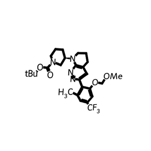 COCOc1cc(C(F)(F)F)cc(C)c1-c1cc2c(nn1)N([C@@H]1CCCN(C(=O)OC(C)(C)C)C1)CCC2